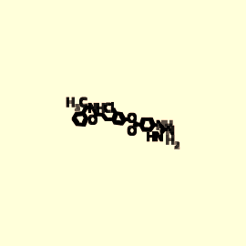 C[C@H](NC(=O)CCc1ccc(OC(=O)c2ccc(NC(=N)N)cc2)cc1Cl)c1ccccc1